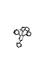 C1=C(c2ccccc2)C=C(c2ccccc2)N(n2ncc3ccccc32)C1c1ccccc1